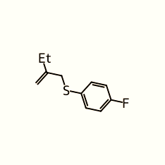 C=C(CC)CSc1ccc(F)cc1